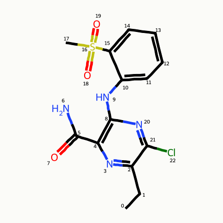 CCc1nc(C(N)=O)c(Nc2ccccc2S(C)(=O)=O)nc1Cl